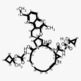 COc1ccc2nc(C)c3c(c2n1)CC[C@]1(C[C@H]2C(=O)N[C@]4(C(=O)NS(=O)(=O)C5(C)CC5)C[C@H]4/C=C\CCCCC[C@H](NC(=O)OC4(C)CCC4)C(=O)N2C1)O3